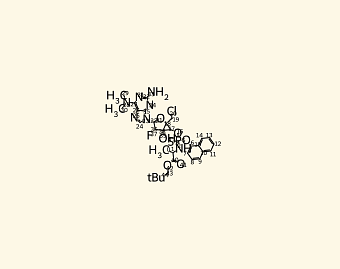 C[C@@H](NP(=S)(Oc1cccc2ccccc12)OC1[C@@]2(CCl)O[C@@H](n3cnc4c(N(C)C)nc(N)nc43)[C@@H](F)[C@@]12O)C(=O)OCC(C)(C)C